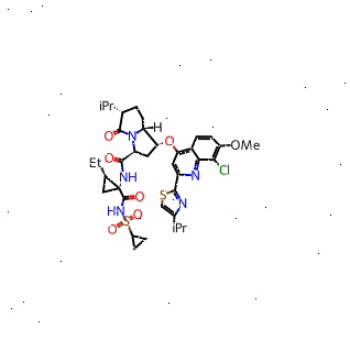 CC[C@@H]1C[C@]1(NC(=O)[C@@H]1C[C@@H](Oc2cc(-c3nc(C(C)C)cs3)nc3c(Cl)c(OC)ccc23)[C@H]2CC[C@@H](C(C)C)C(=O)N21)C(=O)NS(=O)(=O)C1CC1